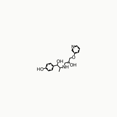 CC(NC[C@H](O)COc1cccnc1)C(O)c1ccc(O)cc1